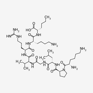 CCCC[C@H](NC(=O)[C@H](CCCCN)NC(=O)[C@H](CCCNC(=N)N)NC(=O)[C@@H](NC(=O)CNC(=O)[C@H](CC(C)C)NC(=O)[C@@H]1CCCN1C(=O)[C@@H](N)CCCCN)C(C)C)C(=O)O